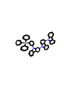 c1ccc([Si](c2ccccc2)(c2ccccc2)c2cccc(-n3c4ccccc4c4ccc(-n5c6ccccc6c6c(-n7c8ccccc8c8ccccc87)cccc65)cc43)c2)cc1